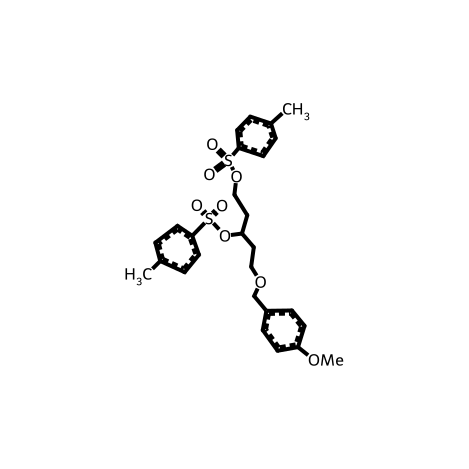 COc1ccc(COCCC(CCOS(=O)(=O)c2ccc(C)cc2)OS(=O)(=O)c2ccc(C)cc2)cc1